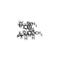 Cc1nc2c(Nc3ccc([C@@H]4CCCO4)cc3S(C)(=O)=O)cc(NC(=O)[C@@H]3CC3(F)F)nc2[nH]1